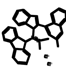 Cc1cc(C2=Cc3ccccc3[CH]2[Zr+2]([CH]2c3ccccc3-c3ccccc32)=[Si](C)C)c2ccccc2c1.[Cl-].[Cl-]